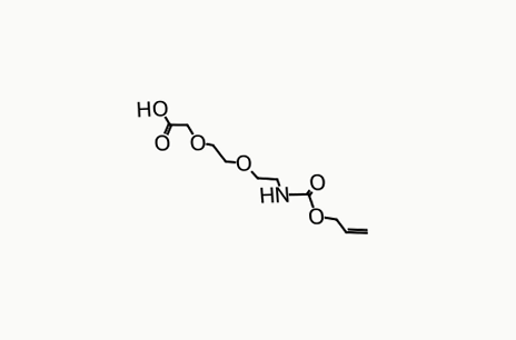 C=CCOC(=O)NCCOCCOCC(=O)O